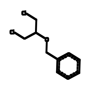 ClCC(CCl)OCc1ccccc1